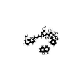 COCCN(CCCCc1ccc2c(n1)NCCC2)CCC(Nc1ncnc2ccccc12)C(=O)O.c1ccc2ccccc2c1